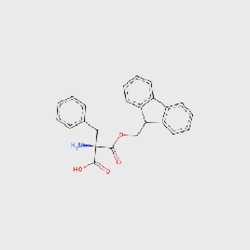 N[C@](Cc1ccccc1)(C(=O)O)C(=O)OCC1c2ccccc2-c2ccccc21